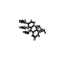 CCCCc1cccc(P(CCCC)c2cccc(C)c2C)c1CCCC